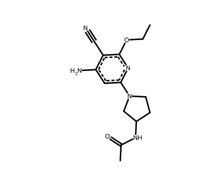 CCOc1nc(N2CCC(NC(C)=O)C2)cc(N)c1C#N